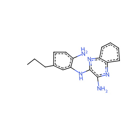 CCCc1ccc(N)c(Nc2nc3ccccc3nc2N)c1